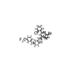 FC(F)(F)c1cccc(CN2CCCC(CNc3cc(-c4ccccc4Cl)nc4c(Br)cnn34)C2)c1